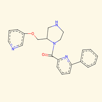 O=C(c1cccc(-c2ccccc2)n1)N1CCNCC1COc1cccnc1